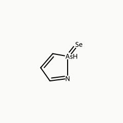 [Se]=[AsH]1C=CC=N1